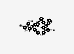 Cc1cc2c3c(c1)N(c1ccc(-c4c(C)cccc4CCC4(C)CCC(C)(C)c5cc6c7c(sc6cc54)B4c5cc(C(C)(C)C)ccc5N(c5cc(C(C)(C)C)cc(C(C)(C)C)c5)c5cc(C)cc(c54)N7c4ccc(-c5ccccc5)cc4)cc1)c1c(sc4cc5c(cc14)C(C)(C)CCC5(C)C)B3c1cc(C(C)(C)C)ccc1N2c1ccc(C(C)(C)C)cc1